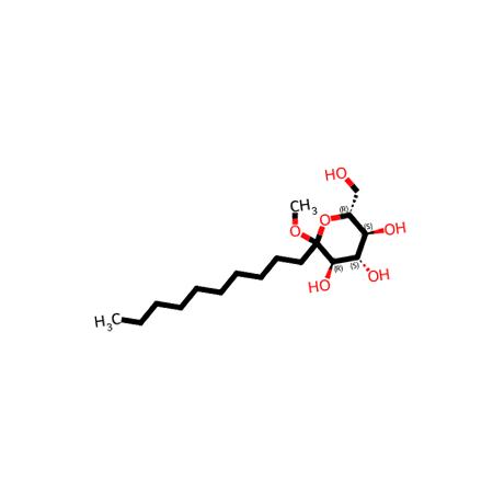 CCCCCCCCCCC1(OC)O[C@H](CO)[C@@H](O)[C@H](O)[C@H]1O